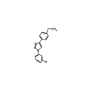 CCc1ccc(-c2cn(-c3cccc(F)c3)nn2)cc1